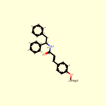 CCCCCCCOc1ccc(C=CC(=O)NC(Cc2ccccc2)c2ccccc2)cc1